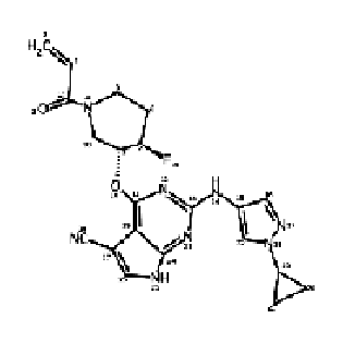 C=CC(=O)N1CC[C@@H](F)[C@H](Oc2nc(Nc3cnn(C4CC4)c3)nc3[nH]cc(C#N)c23)C1